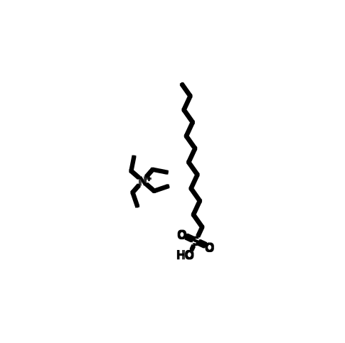 CCCCCCCCCCCCS(=O)(=O)O.CC[N+](CC)(CC)CC